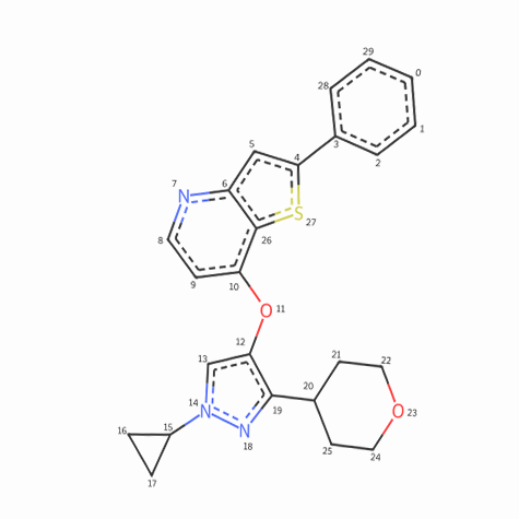 c1ccc(-c2cc3nccc(Oc4cn(C5CC5)nc4C4CCOCC4)c3s2)cc1